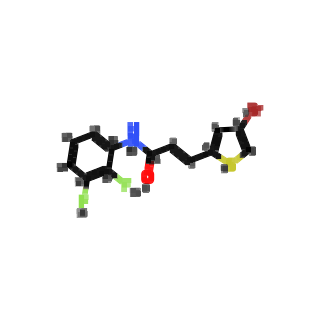 O=C(C=Cc1cc(Br)cs1)Nc1cccc(F)c1F